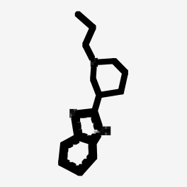 CCCN1CCCC(c2nc3ccccc3[nH]2)C1